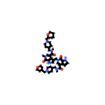 CN(CC1CCN(CC2CCOCC2)CC1)C(=O)c1cn(Cc2c[nH]c3c(=O)n(C)cc(C(=O)N(C)CC4CCN(CC5CCCCO5)CC4)c23)c(=O)c2[nH]ccc12